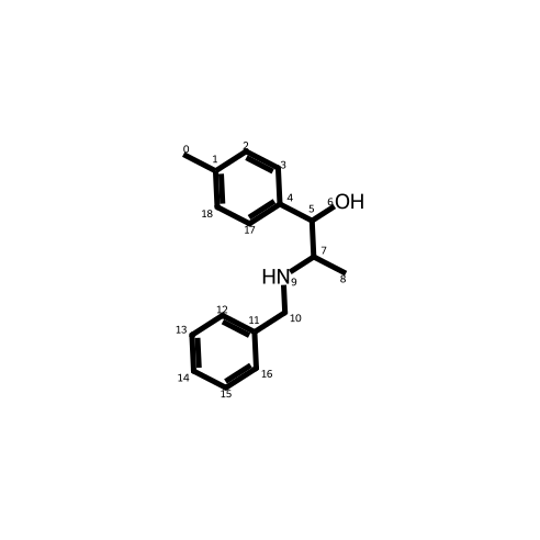 Cc1ccc(C(O)C(C)NCc2ccccc2)cc1